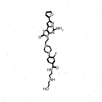 Nc1nc2c(sc(=O)n2CCN2CCN(c3ccc(C(=O)NCCNCCO)cc3F)CC2)c2cc(-c3ccco3)nn12